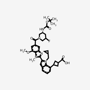 COc1cc(C(=O)N2CC(F)C[C@@H](NC(=O)OC(C)(C)C)C2)cc2nc(-c3cc4cccc(C5CC(C(=O)O)C5)c4n3CC3CC3)n(C)c12